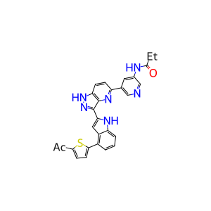 CCC(=O)Nc1cncc(-c2ccc3[nH]nc(-c4cc5c(-c6ccc(C(C)=O)s6)cccc5[nH]4)c3n2)c1